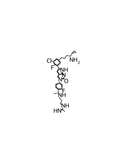 CC(=N)NCCCN[C@@H](C)c1ccc(-n2cc3cc(-c4cc(CCC[C@@H](N)C5CC5)cc(Cl)c4F)[nH]c3nc2=O)cc1F